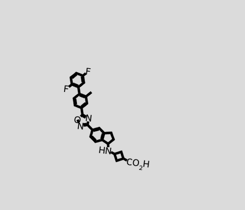 Cc1cc(-c2nc(-c3ccc4c(c3)CCC4NC3CC(C(=O)O)C3)no2)ccc1-c1cc(F)ccc1F